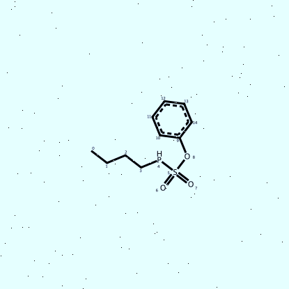 CCCCPS(=O)(=O)Oc1ccccc1